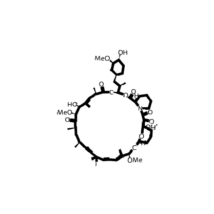 CO[C@H]1C[C@@H]2CC[C@@H](C)[C@@](O)(O2)C(=O)C(=O)N2CCCC[C@H]2C(=O)O[C@H]([C@H](C)C[C@@H]2CC[C@@H](O)[C@H](OC)C2)CC(=O)[C@H](C)/C=C(\C)[C@@H](O)[C@@H](OC)C(=O)[C@H](C)C[C@H](C)/C=C/C(C)(I)/C=C/C=C/1C